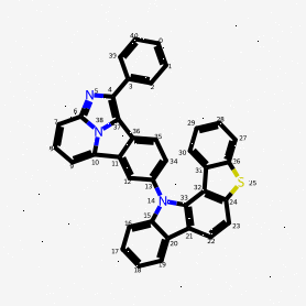 c1ccc(-c2nc3cccc4c5cc(-n6c7ccccc7c7ccc8sc9ccccc9c8c76)ccc5c2n34)cc1